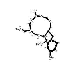 CN1CCOCC(Cc2ccc([N+](=O)[O-])cc2)N(CC(=O)O)CCN(CC(=O)O)CC1